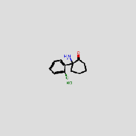 Cl.NC1(c2ccccc2Cl)CCCCC1=O